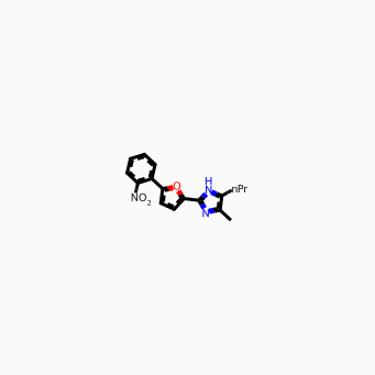 CCCc1[nH]c(-c2ccc(-c3ccccc3[N+](=O)[O-])o2)nc1C